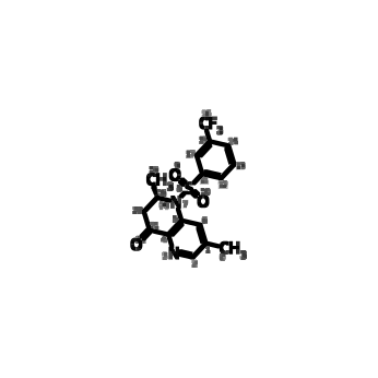 Cc1cnc2c(c1)N(S(=O)(=O)c1cccc(C(F)(F)F)c1)[C@H](C)CC2=O